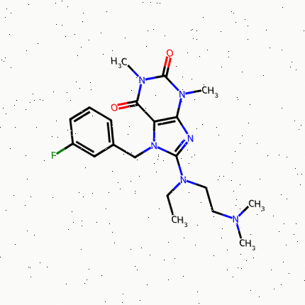 CCN(CCN(C)C)c1nc2c(c(=O)n(C)c(=O)n2C)n1Cc1cccc(F)c1